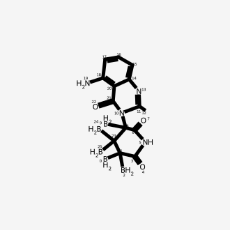 BC1(B)C(=O)NC(=O)C(B)(n2c(C)nc3cccc(N)c3c2=O)C1(B)B